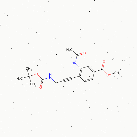 COC(=O)c1ccc(C#CCNC(=O)OC(C)(C)C)c(NC(C)=O)c1